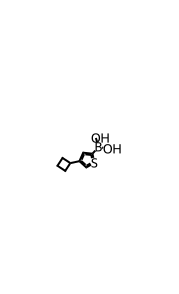 OB(O)c1cc(C2CCC2)cs1